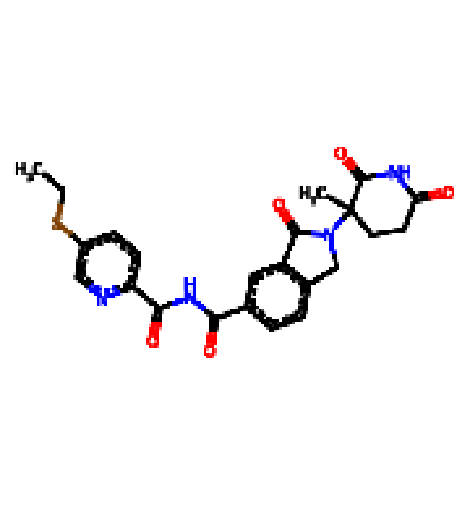 CCSc1ccc(C(=O)NC(=O)c2ccc3c(c2)C(=O)N(C2(C)CCC(=O)NC2=O)C3)nc1